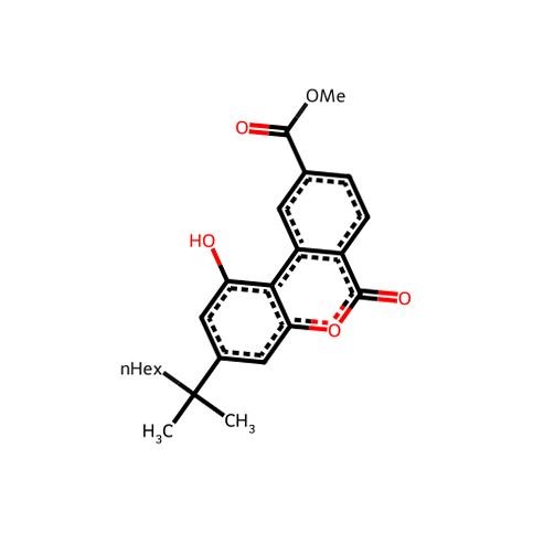 CCCCCCC(C)(C)c1cc(O)c2c(c1)oc(=O)c1ccc(C(=O)OC)cc12